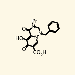 CC(C)N1CN(Cc2ccccc2)n2cc(C(=O)O)c(=O)c(O)c2C1=O